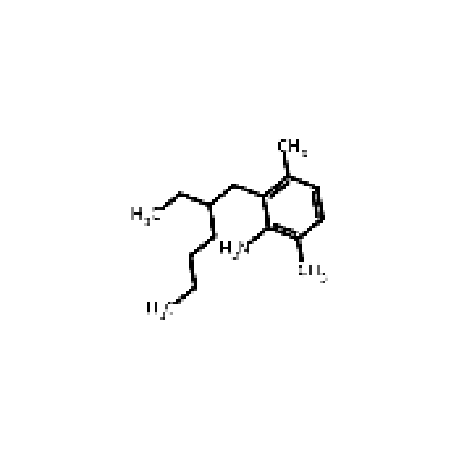 CCCCC(CC)Cc1c(C)ccc(C)c1N